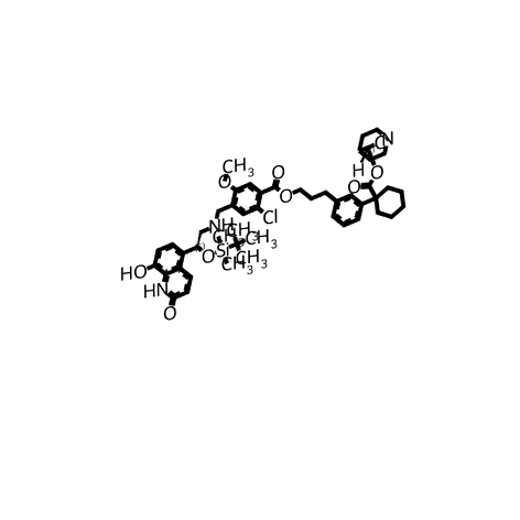 COc1cc(C(=O)OCCCc2cccc(C3(C(=O)O[C@H]4CN5CCC4CC5)CCCCC3)c2)c(Cl)cc1CNC[C@@H](O[Si](C)(C)C(C)(C)C)c1ccc(O)c2[nH]c(=O)ccc12